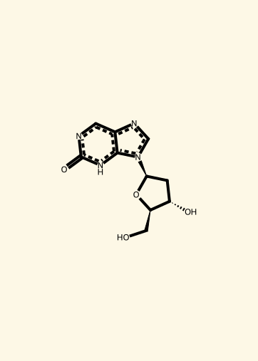 O=c1ncc2ncn([C@H]3C[C@H](O)[C@@H](CO)O3)c2[nH]1